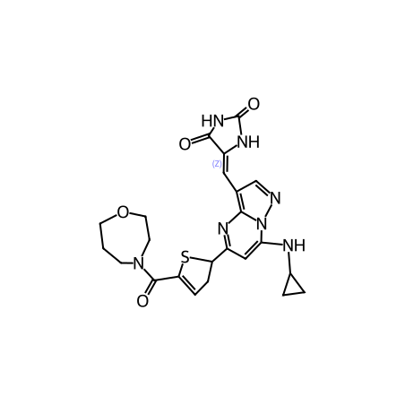 O=C1NC(=O)/C(=C/c2cnn3c(NC4CC4)cc(C4CC=C(C(=O)N5CCCOCC5)S4)nc23)N1